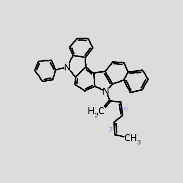 C=C(/C=C\C=C/C)n1c2ccc3c(c4ccccc4n3-c3ccccc3)c2c2ccc3ccccc3c21